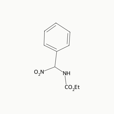 CCOC(=O)NC(c1ccccc1)[N+](=O)[O-]